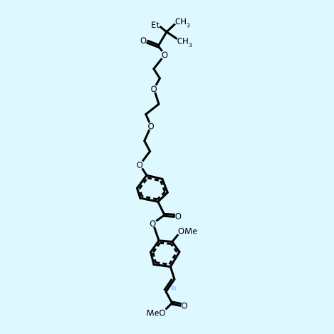 CCC(C)(C)C(=O)OCCOCCOCCOc1ccc(C(=O)Oc2ccc(/C=C/C(=O)OC)cc2OC)cc1